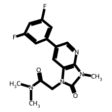 CN(C)C(=O)Cn1c(=O)n(C)c2ncc(-c3cc(F)cc(F)c3)cc21